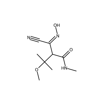 CNC(=O)C(C(C#N)=NO)C(C)(C)OC